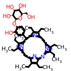 CCC1=C(CC)c2nc1cc1[nH]c(c(CC)c1CC)c(-c1ccc(O[C@@H]3O[C@H](CO)[C@H](O)[C@H](O)[C@H]3O)c(O)c1)c1nc(cc3[nH]c(n2)c(CC)c3CC)C(CC)=C1CC